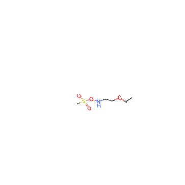 CCOCCNOS(C)(=O)=O